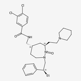 CC[C@H](CN1CC[C@H](CNC(=O)c2ccc(Cl)c(Cl)c2)C[C@@H](CCN2CCCCC2)[N+]1=O)c1ccccc1